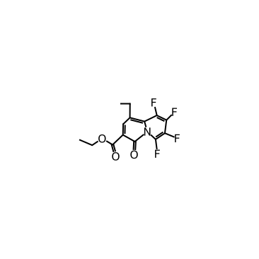 CCOC(=O)c1cc(CC)c2c(F)c(F)c(F)c(F)n2c1=O